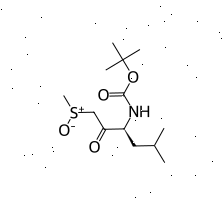 CC(C)C[C@H](NC(=O)OC(C)(C)C)C(=O)C[S+](C)[O-]